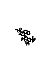 CCOC(=O)N1c2ccc3c(c2C(N(Cc2cc(C(F)(F)F)cc(C(F)(F)F)c2)C(=O)SC)CC1C)CCC3